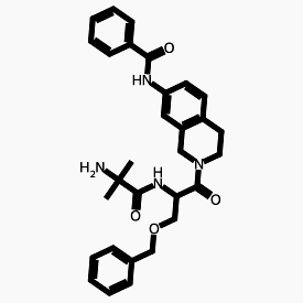 CC(C)(N)C(=O)NC(COCc1ccccc1)C(=O)N1CCc2ccc(NC(=O)c3ccccc3)cc2C1